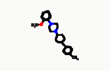 COc1ccccc1N1CCN(C2CC=C(c3ccc(C)cc3)CC2)CC1